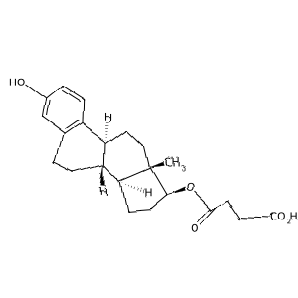 C[C@]12CC[C@@H]3c4ccc(O)cc4CC[C@H]3[C@@H]1CC[C@@H]2OC(=O)CCC(=O)O